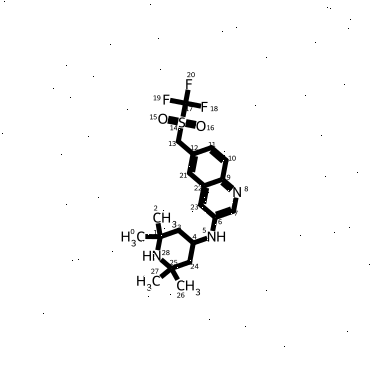 CC1(C)CC(Nc2cnc3ccc(CS(=O)(=O)C(F)(F)F)cc3c2)CC(C)(C)N1